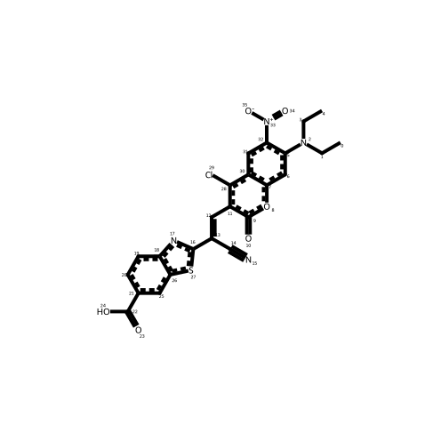 CCN(CC)c1cc2oc(=O)c(C=C(C#N)c3nc4ccc(C(=O)O)cc4s3)c(Cl)c2cc1[N+](=O)[O-]